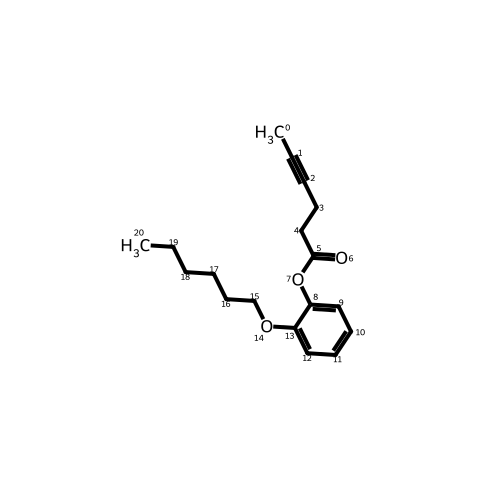 CC#CCCC(=O)Oc1ccccc1OCCCCCC